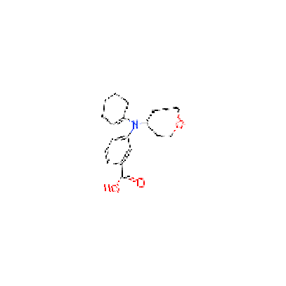 O=C(O)c1ccc2c3c(n(C4CCOCC4)c2c1)CCCC3